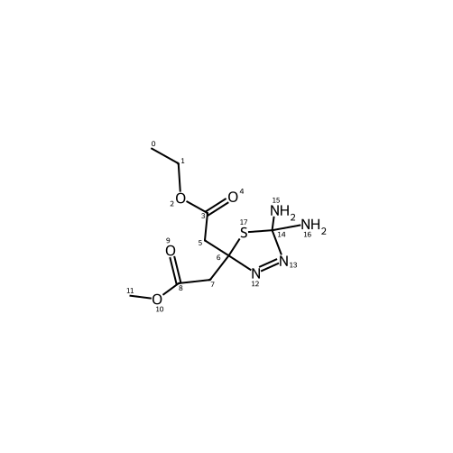 CCOC(=O)CC1(CC(=O)OC)N=NC(N)(N)S1